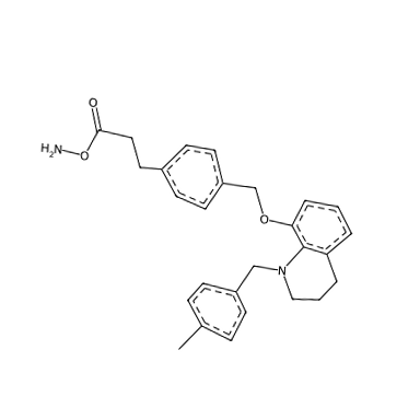 Cc1ccc(CN2CCCc3cccc(OCc4ccc(CCC(=O)ON)cc4)c32)cc1